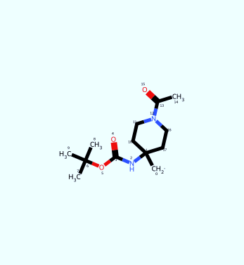 [CH2]C1(NC(=O)OC(C)(C)C)CCN(C(C)=O)CC1